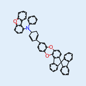 C1=CC(N(c2ccccc2)c2cccc3oc4ccccc4c23)CC=C1c1ccc2c(c1)Oc1ccc3c(c1O2)-c1ccccc1C31c2ccccc2-c2ccccc21